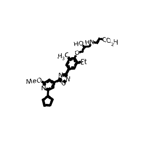 CCc1cc(-c2noc(-c3cc(OC)nc(C4CCCC4)c3)n2)cc(C)c1OCC(O)CNCCC(=O)O